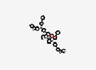 c1ccc(-c2ccc(N(c3ccc(-c4ccnc5c4-c4ccccc4[SH]5c4cccc(N(c5ccc(-c6ccccc6)cc5)c5ccc(-c6ccc7sc8cnccc8c7c6)cc5)c4-c4ccccc4)cc3)c3ccc4sc5ccccc5c4c3)cc2)cc1